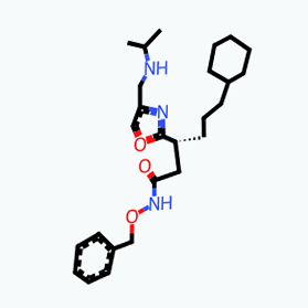 CC(C)NCc1coc([C@H](CCCC2CCCCC2)CC(=O)NOCc2ccccc2)n1